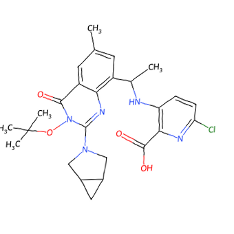 Cc1cc(C(C)Nc2ccc(Cl)nc2C(=O)O)c2nc(N3CC4CC4C3)n(OC(C)(C)C)c(=O)c2c1